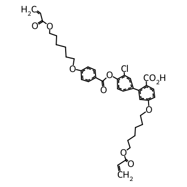 C=CC(=O)OCCCCCCOc1ccc(C(=O)Oc2ccc(-c3cc(OCCCCCCOC(=O)C=C)ccc3C(=O)O)cc2Cl)cc1